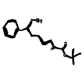 CC(C)(C)OC(=O)NCCCCC(=NO)c1ccccc1